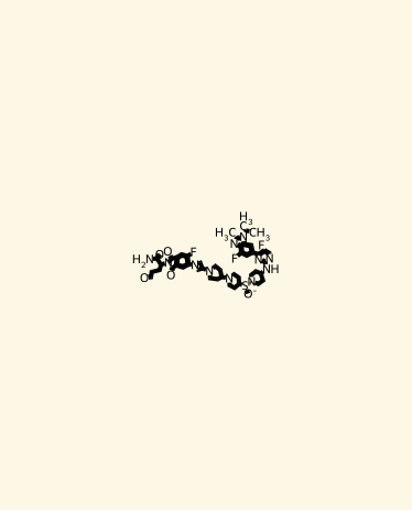 Cc1nc2c(F)cc(-c3nc(NC4CCN([S+]([O-])C5CCN(C6CCN(C7CN(c8cc9c(cc8F)C(=O)N(C(CCC=O)C(N)=O)C9=O)C7)CC6)CC5)CC4)ncc3F)cc2n1C(C)C